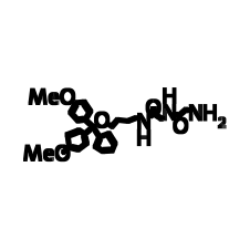 COc1ccc(C(OCCCCNC(=O)CNC(=O)CN)(c2ccccc2)c2ccc(OC)cc2)cc1